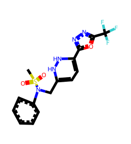 CS(=O)(=O)N(CC1=CC=C(c2nnc(C(F)(F)F)o2)NN1)c1ccccc1